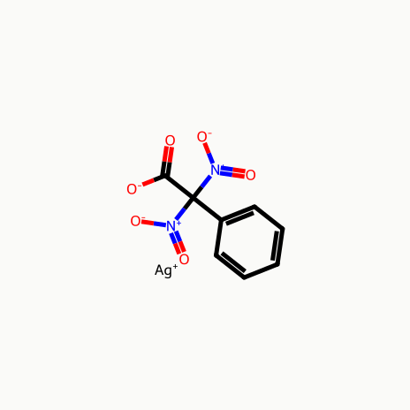 O=C([O-])C(c1ccccc1)([N+](=O)[O-])[N+](=O)[O-].[Ag+]